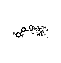 Cc1nc(N2CCCN(Cc3cccc(-c4cc(F)ccc4F)c3)C2=O)sc1S(N)(=O)=O